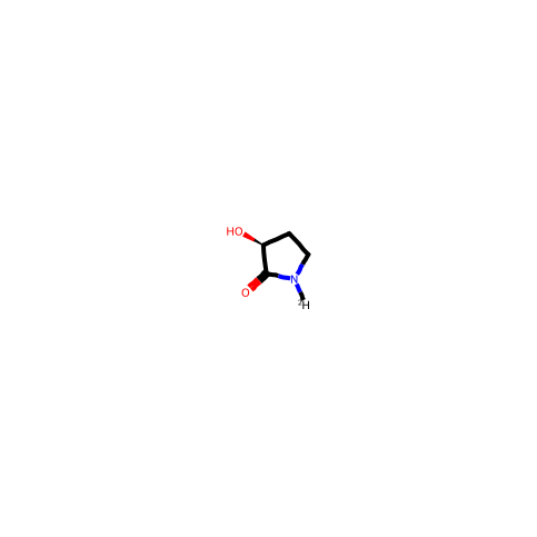 [2H]N1CC[C@H](O)C1=O